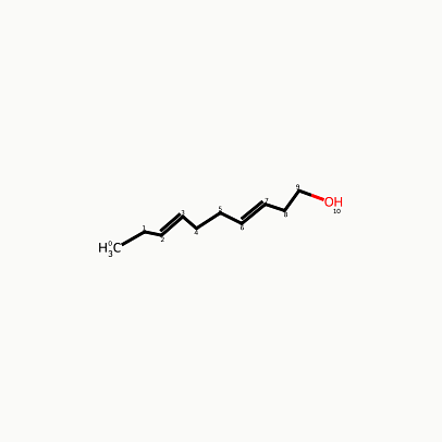 CCC=CCCC=CCCO